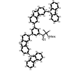 CCCCCCC(C)(C)C(CC)c1cc(-c2ccc3oc4ccc(-n5c6ccccc6c6ccccc65)cc4c3c2)cc(-c2ccc3oc4ccc(-n5c6ccccc6c6ccccc65)cc4c3c2)c1